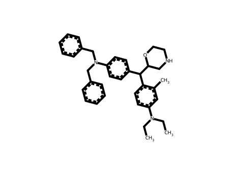 CCN(CC)c1ccc(C(c2ccc(N(Cc3ccccc3)Cc3ccccc3)cc2)C2CNCCO2)c(C)c1